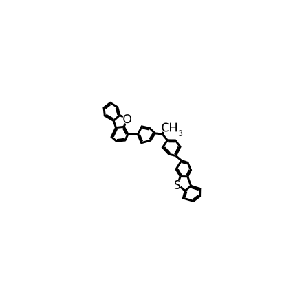 CC(c1ccc(-c2ccc3c(c2)sc2ccccc23)cc1)c1ccc(-c2cccc3c2oc2ccccc23)cc1